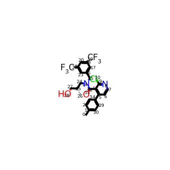 Cc1ccc(-c2ccnc(Cl)c2C(=O)N(Cc2cc(C(F)(F)F)cc(C(F)(F)F)c2)C[C@H](C)CO)cc1